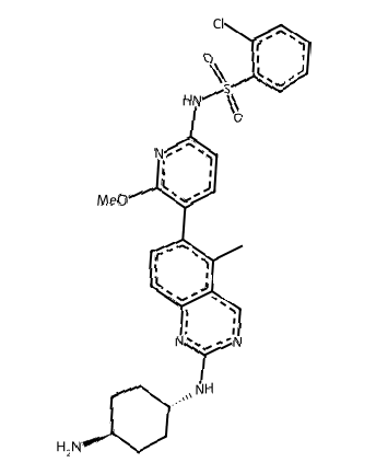 COc1nc(NS(=O)(=O)c2ccccc2Cl)ccc1-c1ccc2nc(N[C@H]3CC[C@H](N)CC3)ncc2c1C